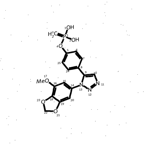 C=P(O)(O)Oc1ccc(-c2cnnn2-c2cc(OC)c3c(c2)OCO3)cc1